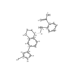 O=C(O)c1ccncc1NC[C@H]1CCOc2cc(-c3csc(I)c3)ccc21